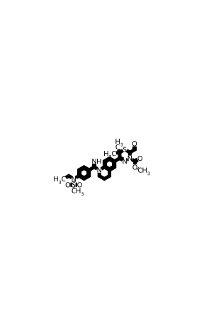 CCN(c1ccc(C(=N)N2CCCc3cc(C4=NN(C(=O)OC)C(C=O)SC4(C)C)ccc32)cc1)S(C)(=O)=O